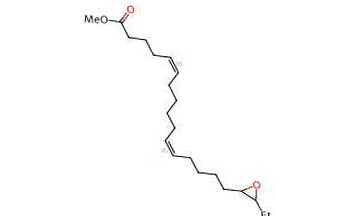 CCC1OC1CCCC/C=C\CCCC/C=C\CCCC(=O)OC